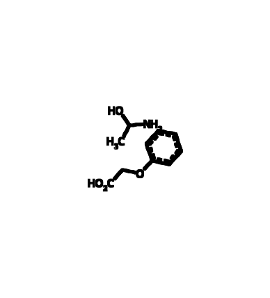 CC(N)O.O=C(O)COc1ccccc1